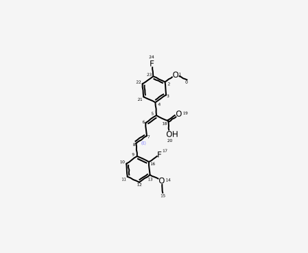 COc1cc(C(=C/C=C/c2cccc(OC)c2F)C(=O)O)ccc1F